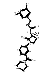 O=C(NCc1cc(F)cc(Cl)c1)O[C@@]1(O)CCN(c2cccc(C(=O)N3CCOCC3)c2)C1=O